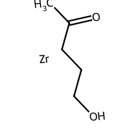 CC(=O)CCCO.[Zr]